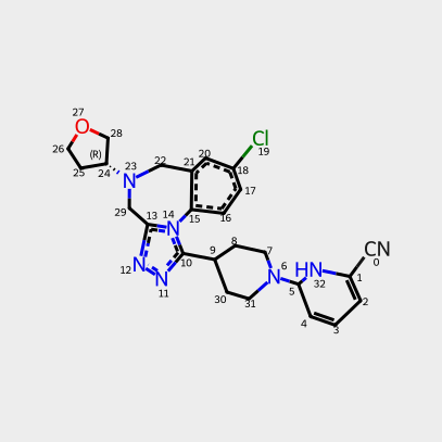 N#CC1=CC=CC(N2CCC(c3nnc4n3-c3ccc(Cl)cc3CN([C@@H]3CCOC3)C4)CC2)N1